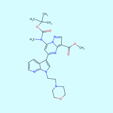 COC(=O)c1cnn2c(N(C)C(=O)OC(C)(C)C)cc(-c3cn(CCN4CCOCC4)c4ncccc34)nc12